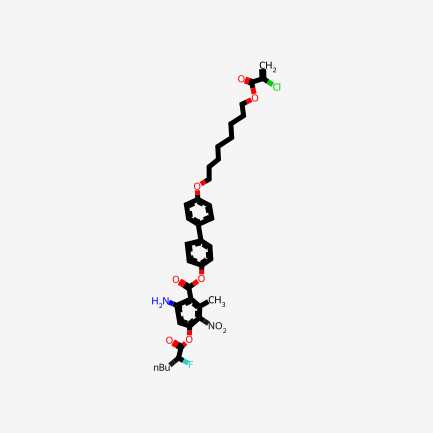 C=C(Cl)C(=O)OCCCCCCCCOc1ccc(-c2ccc(OC(=O)c3c(N)cc(OC(=O)C(F)CCCC)c([N+](=O)[O-])c3C)cc2)cc1